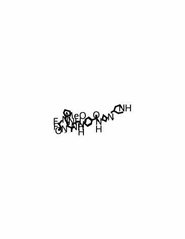 COc1cc(C(=O)NC2CC(N(C)CC3CCNCC3)C2)ccc1NCCNC1=C(C(C)=N)N(C)C(=O)C(F)(F)CN1C1CCCC1